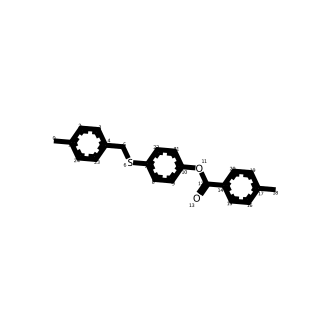 Cc1ccc(CSc2ccc(OC(=O)c3ccc(C)cc3)cc2)cc1